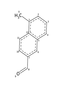 Cc1cccc2cc(C=O)ccc12